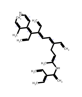 C=C/C(=C/C=C(C=C)/C(C=C)=C(\C=C/C)C(/C)=C\C)C/C=C(\C)NC(=C)/C(C=C)=C/C